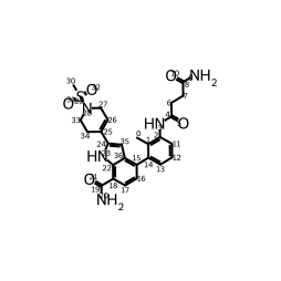 Cc1c(NC(=O)CCC(N)=O)cccc1-c1ccc(C(N)=O)c2[nH]c(C3=CCN(S(C)(=O)=O)CC3)cc12